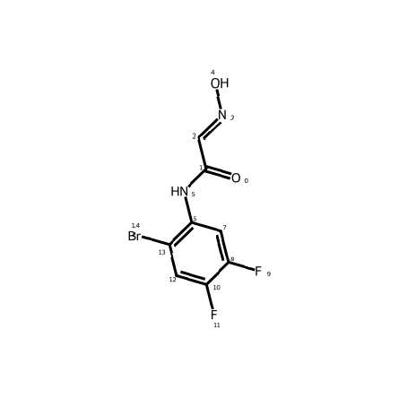 O=C(/C=N/O)Nc1cc(F)c(F)cc1Br